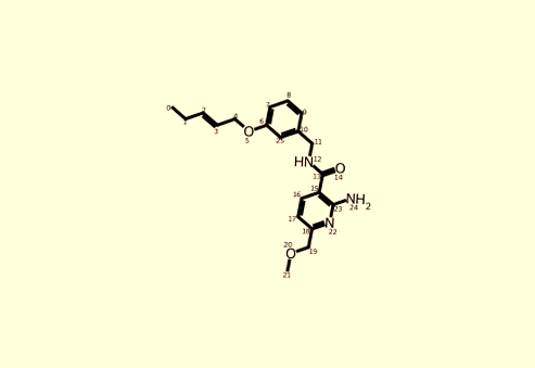 CC/C=C/COc1cccc(CNC(=O)c2ccc(COC)nc2N)c1